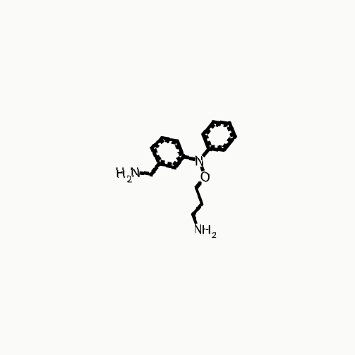 NCCCON(c1ccccc1)c1cccc(CN)c1